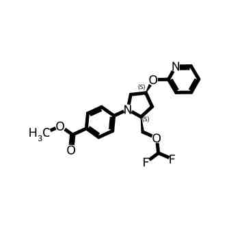 COC(=O)c1ccc(N2C[C@@H](Oc3ccccn3)C[C@H]2COC(F)F)cc1